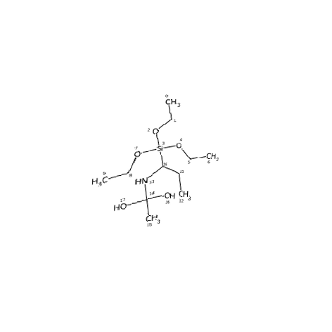 CCO[Si](OCC)(OCC)C(CC)NC(C)(O)O